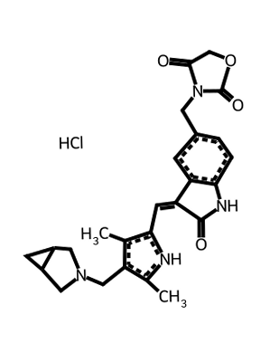 Cc1[nH]c(C=C2C(=O)Nc3ccc(CN4C(=O)COC4=O)cc32)c(C)c1CN1CC2CC2C1.Cl